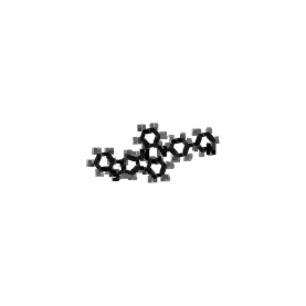 c1cncc(-c2ccc(N3c4ccccc4-n4c5cc6c(cc5c5cccc3c54)sc3ccccc36)cc2)c1